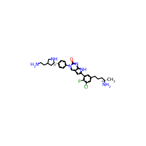 C[C@H](N)CCCc1cc(Cl)c(F)c(-c2cc3cn(-c4ccc([C@@H]5CC(CCN)CN5)cc4)c(=O)nc3[nH]2)c1